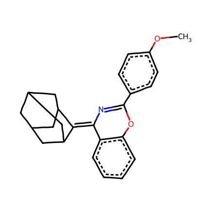 COc1ccc(C2=NC(=C3C4CC5CC(C4)CC3C5)c3ccccc3O2)cc1